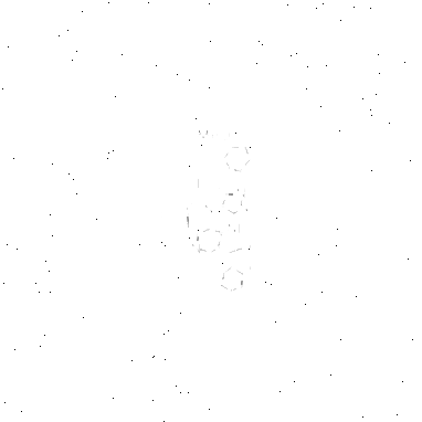 COc1ccc(Cn2nc(Nc3cc(C4=CCOCC4)ncc3C(=O)c3ccccc3Cl)c([N+](=O)[O-])c2C)cc1